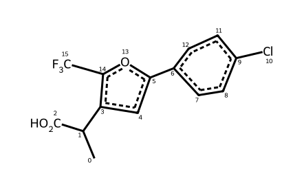 CC(C(=O)O)c1cc(-c2ccc(Cl)cc2)oc1C(F)(F)F